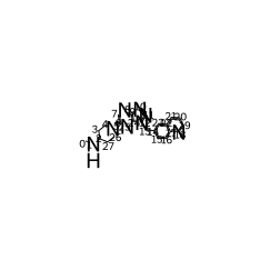 CNC1CCN(c2cnc3nnn(Cc4ccc5ncccc5c4)c3n2)CC1